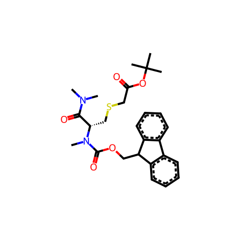 CN(C)C(=O)[C@H](CSCC(=O)OC(C)(C)C)N(C)C(=O)OCC1c2ccccc2-c2ccccc21